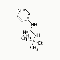 CCC(C)(C)NC(=NC#N)Nc1ccncc1